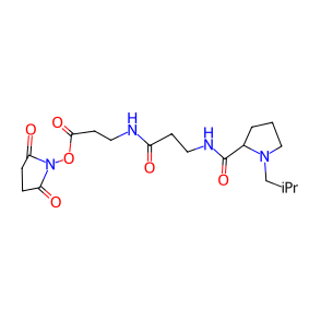 CC(C)CN1CCCC1C(=O)NCCC(=O)NCCC(=O)ON1C(=O)CCC1=O